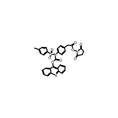 Cc1ccc(S(=O)(=O)N(C(=O)Oc2c3ccccc3nc3ccccc23)c2ccc(CC(=O)ON3C(=O)CCC3=O)cc2)cc1